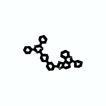 c1ccc(-c2nc(-c3ccccc3)nc(-c3ccc(-c4cccc(-c5nc6c(ccc7c(-c8ccccc8)nc8ccccc8c76)o5)c4)cc3)n2)cc1